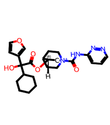 O=C(O[C@H]1C[N+]2(C(=O)Nc3cccnn3)CCC1CC2)C(O)(c1ccoc1)C1CCCCC1